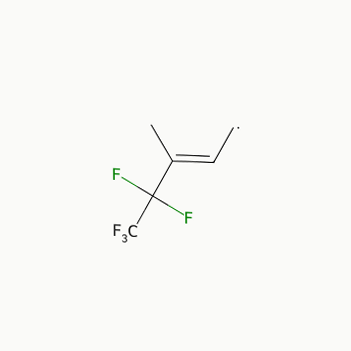 [CH2]C=C(C)C(F)(F)C(F)(F)F